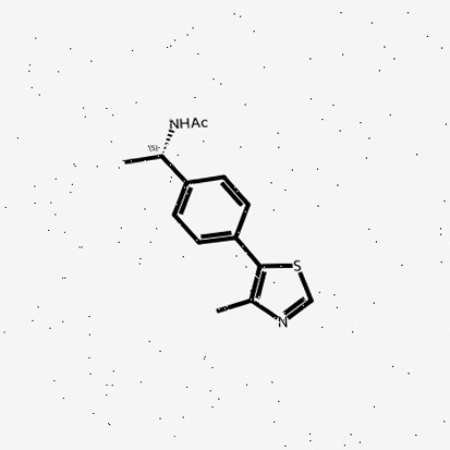 CC(=O)N[C@@H](C)c1ccc(-c2scnc2C)cc1